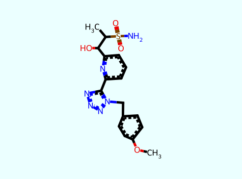 COc1ccc(Cn2nnnc2-c2cccc(C(O)C(C)S(N)(=O)=O)n2)cc1